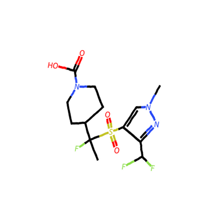 Cn1cc(S(=O)(=O)C(C)(F)C2CCN(C(=O)O)CC2)c(C(F)F)n1